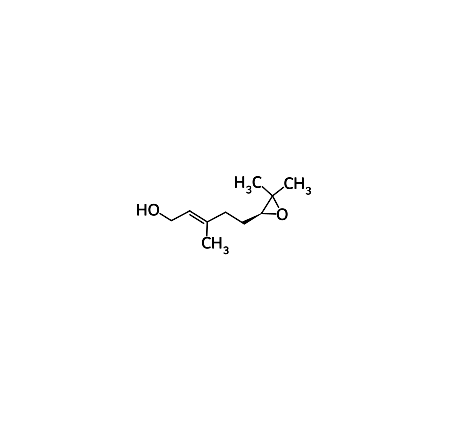 C/C(=C\CO)CC[C@@H]1OC1(C)C